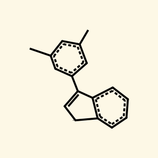 Cc1cc(C)cc(C2=C[CH]c3ccccc32)c1